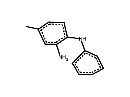 Cc1ccc(Nc2ccccc2)c(N)c1